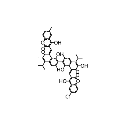 CC1=C(C(C)C)c2cc(C)c(-c3c(C)cc4c(c3O)/C(=C/c3c(O)c5cc(Cl)ccc5oc3=O)C(=O)C(O)=C4C(C)C)c(O)c2/C(=C/c2c(O)c3cc(C)ccc3oc2=O)C1=O